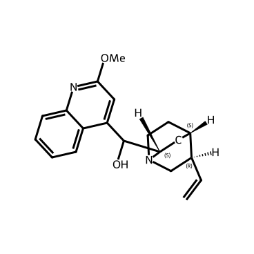 C=C[C@H]1CN2CC[C@H]1C[C@H]2C(O)c1cc(OC)nc2ccccc12